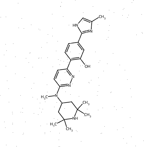 Cc1c[nH]c(-c2ccc(-c3ccc(N(C)C4CC(C)(C)NC(C)(C)C4)nn3)c(O)c2)n1